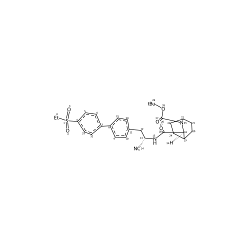 CCS(=O)(=O)c1ccc(-c2ccc(C[C@@H](C#N)NC(=O)[C@@H]3C4CCC(CC4)N3C(=O)OC(C)(C)C)cc2)cc1